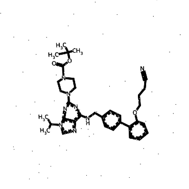 CC(C)n1cnc2c(NCc3ccc(-c4ccccc4OCCCC#N)cc3)nc(N3CCN(C(=O)OC(C)(C)C)CC3)nc21